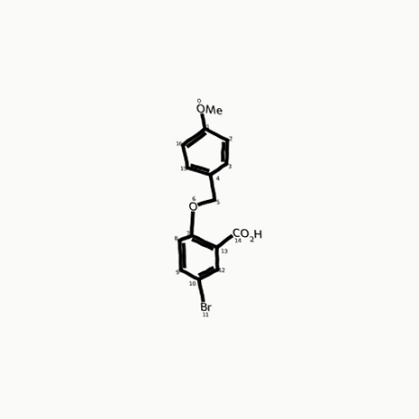 COc1ccc(COc2ccc(Br)cc2C(=O)O)cc1